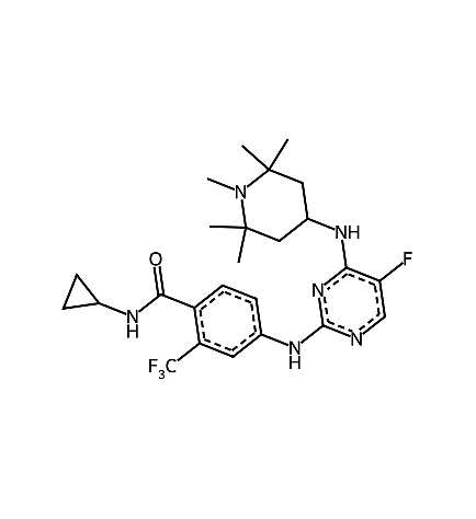 CN1C(C)(C)CC(Nc2nc(Nc3ccc(C(=O)NC4CC4)c(C(F)(F)F)c3)ncc2F)CC1(C)C